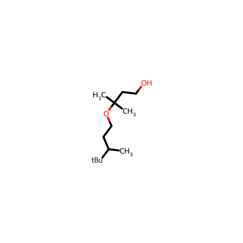 CC(CCOC(C)(C)CCO)C(C)(C)C